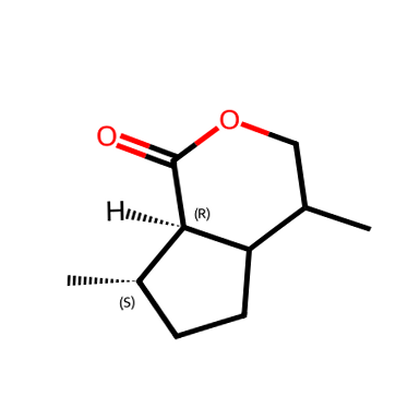 CC1COC(=O)[C@H]2C1CC[C@@H]2C